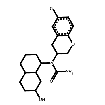 NC(=O)N(C1COc2ccc(Cl)cc2C1)C1CCCC2CCC(O)CC21